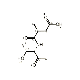 CC(=O)[C@@H](NC(=O)[C@@H](C)CC(=O)O)[C@@H](C)O